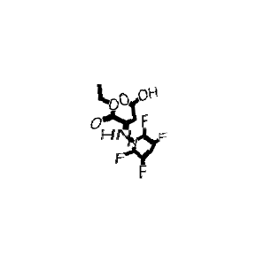 CCOC(=O)C(CC(=O)O)NN1C(F)=C(F)C=C(F)C1F